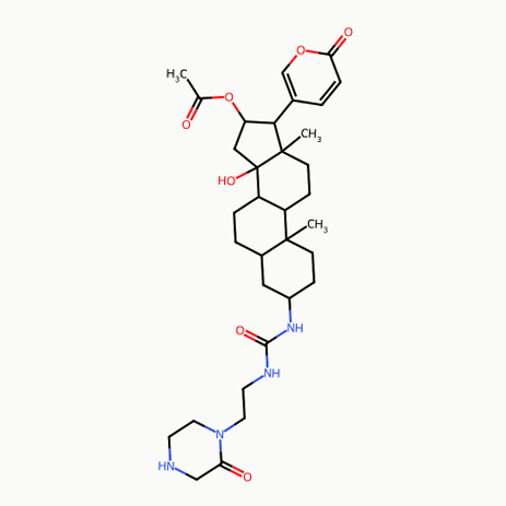 CC(=O)OC1CC2(O)C3CCC4CC(NC(=O)NCCN5CCNCC5=O)CCC4(C)C3CCC2(C)C1c1ccc(=O)oc1